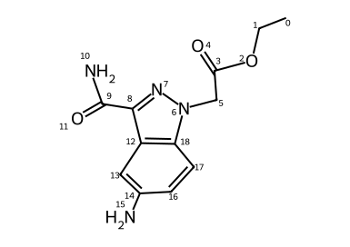 CCOC(=O)Cn1nc(C(N)=O)c2cc(N)ccc21